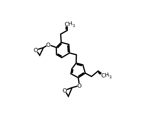 C=CCc1cc(Cc2ccc(OC3CO3)c(CC=C)c2)ccc1OC1CO1